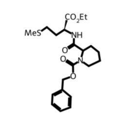 CCOC(=O)[C@H](CCSC)NC(=O)C1CCCCN1C(=O)OCc1ccccc1